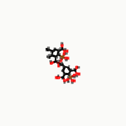 O=C(O)c1c[c]([Na])cc(C(=O)O)c1S(=O)(=O)O.[2H]c1[c]([Na])cc(C(=O)O)c(S(=O)(=O)O)c1C(=O)O